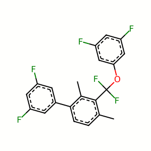 Cc1ccc(-c2cc(F)cc(F)c2)c(C)c1C(F)(F)Oc1cc(F)cc(F)c1